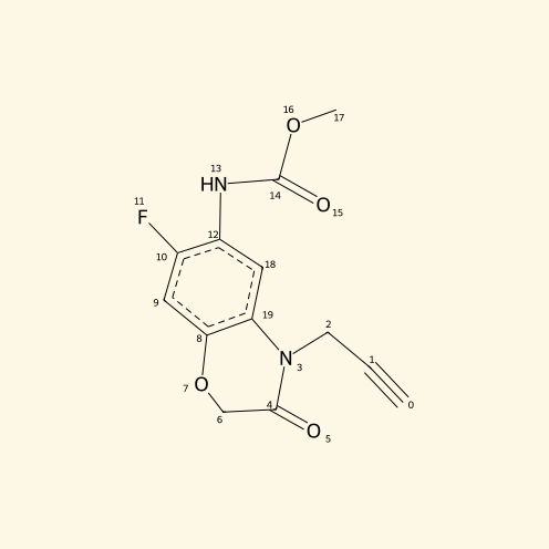 C#CCN1C(=O)COc2cc(F)c(NC(=O)OC)cc21